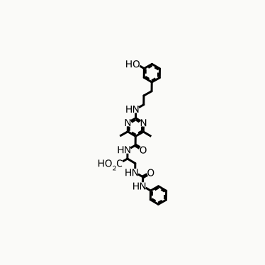 Cc1nc(NCCCc2cccc(O)c2)nc(C)c1C(=O)NC(CNC(=O)Nc1ccccc1)C(=O)O